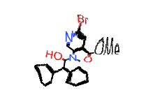 COC(=O)c1cc(Br)ncc1N(C)C(O)C(c1ccccc1)c1ccccc1